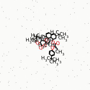 CCC(Oc1ccc(C(C)(C)C)cc1)C(=O)O[C@H]1C[C@H](C(C)(C)C)C=C2C=C[C@H](C)[C@](CC[C@@H]3C[C@H](C(C)(C)C)C(O[SiH](C)C)C(=O)O3)(O[SiH](C)C)[C@H]21